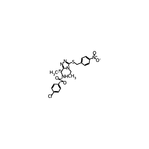 CCn1c(SCc2ccc([N+](=O)[O-])cc2)nnc1[C@@H](C)NS(=O)(=O)c1ccc(Cl)cc1